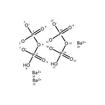 O=P([O-])([O-])OP(=O)([O-])O.O=P([O-])([O-])OP(=O)([O-])O.[Ba+2].[Ba+2].[Ba+2]